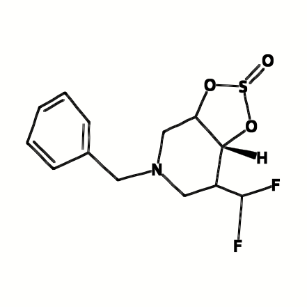 O=S1OC2CN(Cc3ccccc3)CC(C(F)F)[C@H]2O1